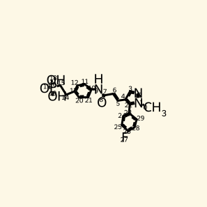 Cn1ncc(C=CC(=O)Nc2ccc(CCP(=O)(O)O)cc2)c1-c1ccc(F)cc1